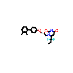 CCC(F)(F)c1cc(=O)nc2n1C[C@@H](COc1ccc(-c3cccc(C)c3C)cc1)O2